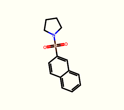 O=S(=O)(c1ccc2ccccc2c1)N1CCCC1